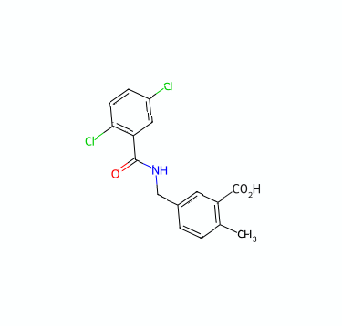 Cc1ccc(CNC(=O)c2cc(Cl)ccc2Cl)cc1C(=O)O